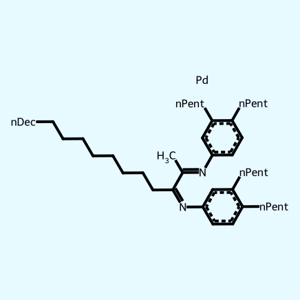 CCCCCCCCCCCCCCCCCCC(=Nc1ccc(CCCCC)c(CCCCC)c1)C(C)=Nc1ccc(CCCCC)c(CCCCC)c1.[Pd]